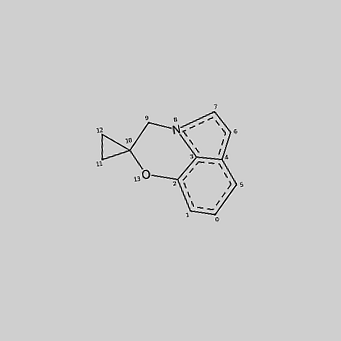 c1cc2c3c(c1)ccn3CC1(CC1)O2